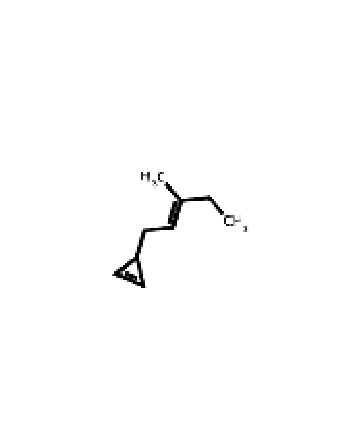 CC/C(C)=C/CC1C=C1